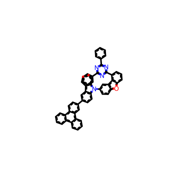 c1ccc(-c2nc(-c3ccccc3)nc(-c3cccc4oc5ccc(-n6c7ccccc7c7cc(-c8ccc9c%10ccccc%10c%10ccccc%10c9c8)ccc76)cc5c34)n2)cc1